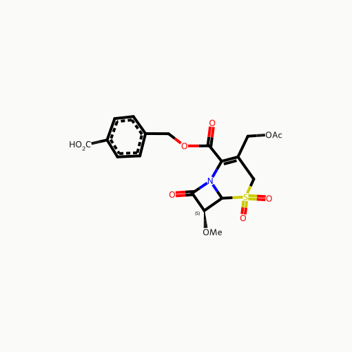 CO[C@H]1C(=O)N2C(C(=O)OCc3ccc(C(=O)O)cc3)=C(COC(C)=O)CS(=O)(=O)C12